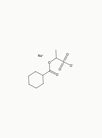 CC(OC(=O)C1CCCCC1)S(=O)(=O)[O-].[Na+]